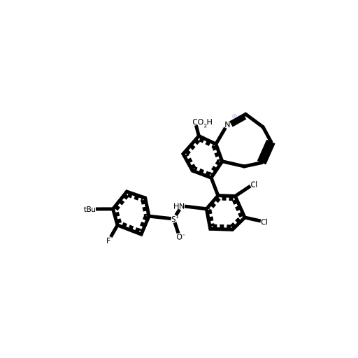 CC(C)(C)c1ccc([S+]([O-])Nc2ccc(Cl)c(Cl)c2-c2ccc(C(=O)O)c3c2CC#CC/C=N\3)cc1F